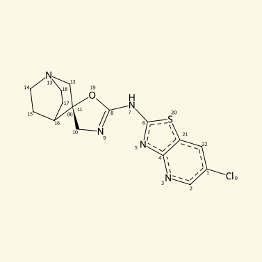 Clc1cnc2nc(NC3=NC[C@@]4(CN5CCC4CC5)O3)sc2c1